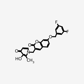 Cc1c(O)c(=O)ccn1Cc1cc2ccc(OCc3cc(F)cc(F)c3)cc2oc1=O